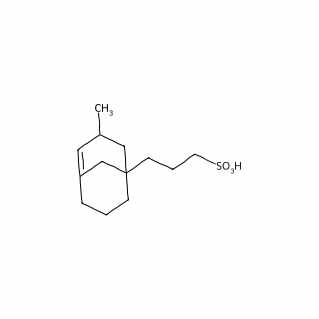 CC1C=C2CCCC(CCCS(=O)(=O)O)(C2)C1